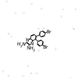 Nc1nc2ccc(-c3ccc(Br)cc3)c(-c3ccc(Br)cc3)c2nc1N